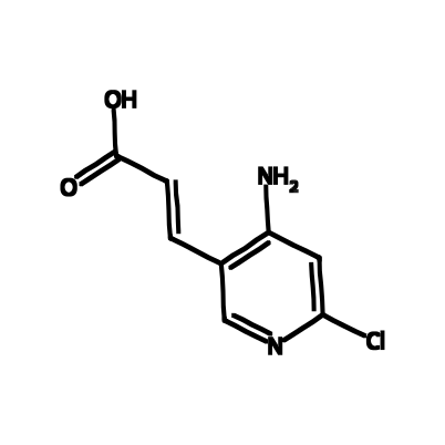 Nc1cc(Cl)ncc1/C=C/C(=O)O